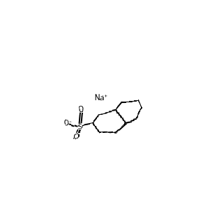 O=S(=O)([O-])C1CCC2CCCCC2C1.[Na+]